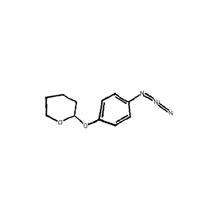 [N-]=[N+]=Nc1ccc(OC2CCCCO2)cc1